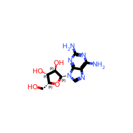 Nc1nc(N)c2ncn([C@@H]3O[C@H](CO)[C@H](O)[C@H]3O)c2n1